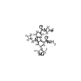 Cc1noc(C)c1-c1cc(C(N)=O)c2c3cc(C(=O)N4CC(F)C4)ccc3n(CC3CCC3)c2c1